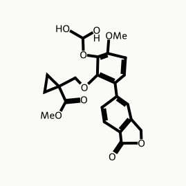 COC(=O)C1(COc2c(-c3ccc4c(c3)COC4=O)ccc(OC)c2OC(O)O)CC1